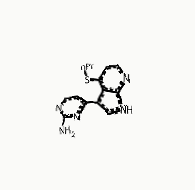 CCCSc1ccnc2[nH]cc(-c3ccnc(N)n3)c12